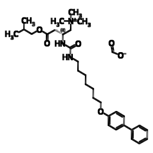 CC(C)COC(=O)C[C@H](C[N+](C)(C)C)NC(=O)NCCCCCCCOc1ccc(-c2ccccc2)cc1.O=C[O-]